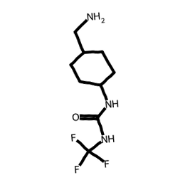 NCC1CCC(NC(=O)NC(F)(F)F)CC1